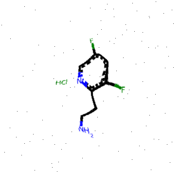 Cl.NCCc1ncc(F)cc1F